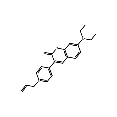 C=CC[n+]1ccc(-c2cc3ccc(N(CC)CC)cc3oc2=O)cc1